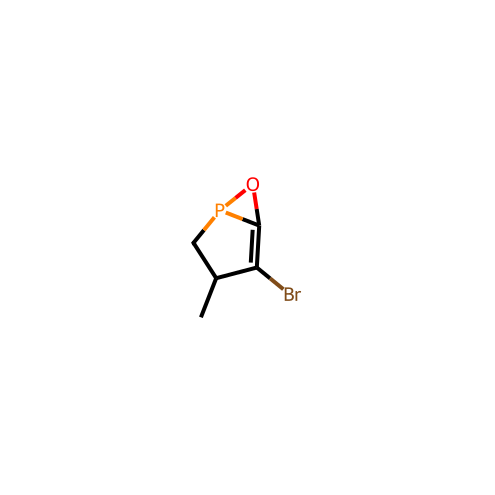 CC1CP2OC2=C1Br